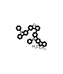 CC1(C)c2ccccc2-c2cc3c4cc(-c5cccc6oc7ccc(-c8ccc9c%10ccccc%10n(-c%10ccccc%10)c9c8)cc7c56)ccc4n(-c4ccccc4)c3cc21